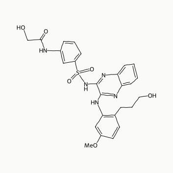 COc1ccc(CCCO)c(Nc2nc3ccccc3nc2NS(=O)(=O)c2cccc(NC(=O)CO)c2)c1